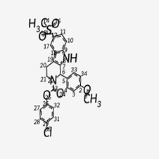 COc1ccc(C2c3[nH]c4ccc(S(C)(=O)=O)cc4c3CCN2C(=O)Oc2ccc(Cl)cc2)cc1